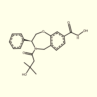 CC(C)(O)CC(=O)N1Cc2ccc(C(=O)NO)cc2OC[C@@H]1c1ccccc1